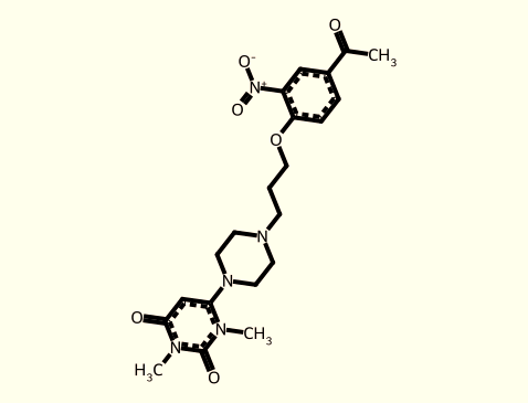 CC(=O)c1ccc(OCCCN2CCN(c3cc(=O)n(C)c(=O)n3C)CC2)c([N+](=O)[O-])c1